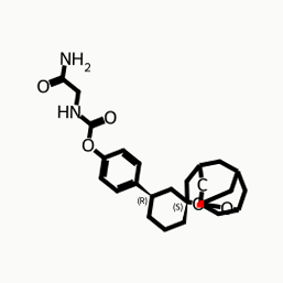 NC(=O)CNC(=O)Oc1ccc([C@@H]2CCC[C@]3(CC4CC5CC(C4)CC(C5)OO3)C2)cc1